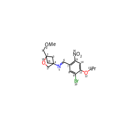 COCC12CC(/N=C/c3cc(Br)c(OC(C)C)cc3[N+](=O)[O-])(CO1)C2